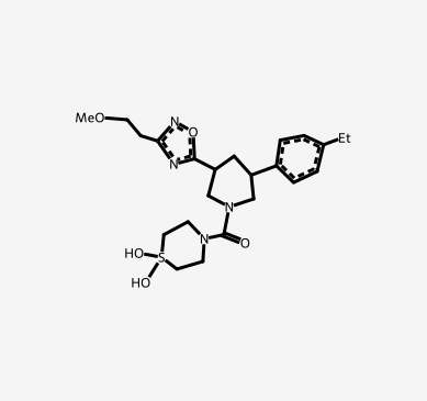 CCc1ccc(C2CC(c3nc(CCOC)no3)CN(C(=O)N3CCS(O)(O)CC3)C2)cc1